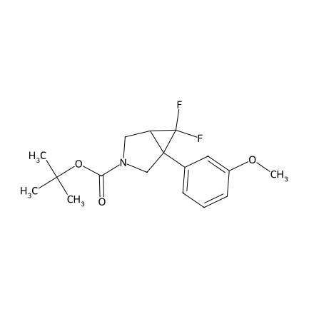 COc1cccc(C23CN(C(=O)OC(C)(C)C)CC2C3(F)F)c1